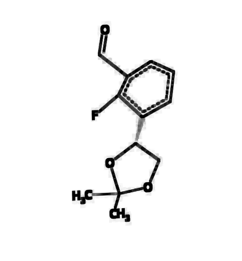 CC1(C)OC[C@@H](c2cccc(C=O)c2F)O1